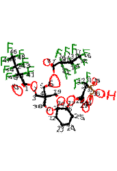 O=C(OCC1(COC(=O)C(F)(F)C(F)(F)C(F)(F)F)COC2(CCCCC2OC(=O)C(F)(F)S(=O)(=O)O)OC1)C(F)(F)C(F)(F)C(F)(F)F